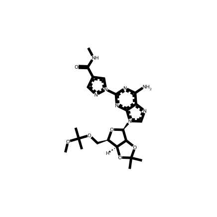 CNC(=O)c1cnn(-c2nc(N)c3ncn([C@@H]4O[C@H](COC(C)(C)OC)[C@@H]5OC(C)(C)OC54)c3n2)c1